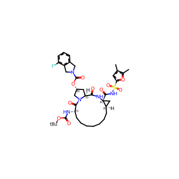 Cc1cc(S(=O)(=O)NC(=O)[C@@]23C[C@H]2CCCCCCC[C@H](NC(=O)OC(C)(C)C)C(=O)N2C[C@H](OC(=O)N4Cc5cccc(F)c5C4)C[C@H]2C(=O)N3)oc1C